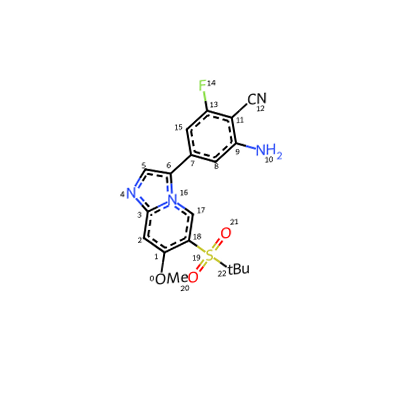 COc1cc2ncc(-c3cc(N)c(C#N)c(F)c3)n2cc1S(=O)(=O)C(C)(C)C